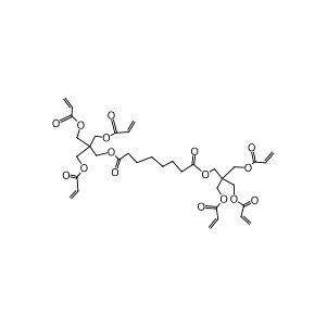 C=CC(=O)OCC(COC(=O)C=C)(COC(=O)C=C)COC(=O)CCCCCCC(=O)OCC(COC(=O)C=C)(COC(=O)C=C)COC(=O)C=C